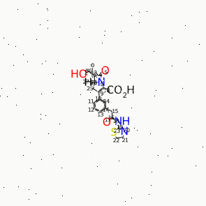 C[C@@H](O)[C@H]1C(=O)N2C(C(=O)O)=C(c3cccc(CC(=O)NC4=NCCS4)c3)C[C@H]12